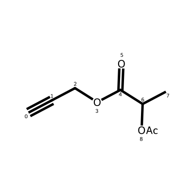 C#CCOC(=O)C(C)OC(C)=O